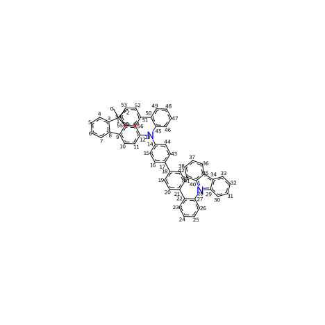 CC1(C)c2ccccc2-c2ccc(N(c3ccc(-c4ccc(-c5ccccc5-n5c6ccccc6c6ccccc65)cc4)cc3)c3ccccc3-c3ccccc3)cc21